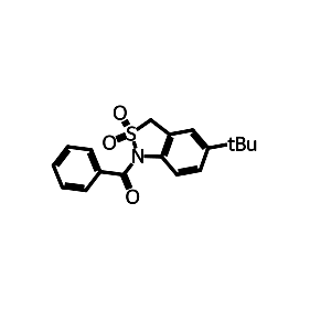 CC(C)(C)c1ccc2c(c1)CS(=O)(=O)N2C(=O)c1ccccc1